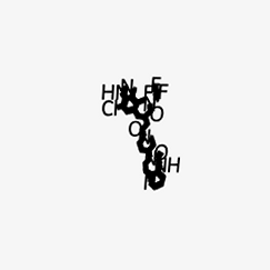 O=C(CC1Cc2cc(Cl)c3[nH]ncc3c2CN(CC(F)(F)F)C1=O)N1CCC(N2CCc3ncccc3NC2=O)CC1